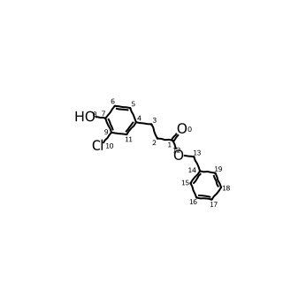 O=C(CCc1ccc(O)c(Cl)c1)OCc1ccccc1